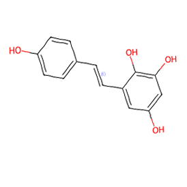 Oc1ccc(/C=C/c2cc(O)cc(O)c2O)cc1